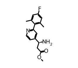 COC(=O)C[C@H](N)c1ccnc(-c2c(C)cc(F)cc2C)c1